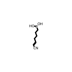 N#CC=CCCCCB(O)O